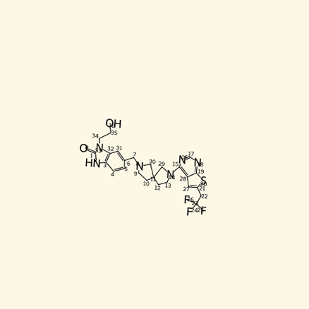 O=c1[nH]c2ccc(CN3CCC4(CCN(c5ncnc6sc(CC(F)(F)F)cc56)C4)C3)cc2n1CCO